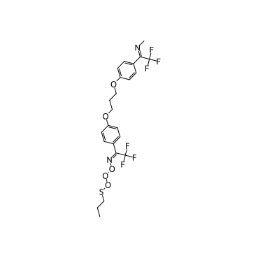 CCCSOOO/N=C(/c1ccc(OCCCOc2ccc(/C(=N/C)C(F)(F)F)cc2)cc1)C(F)(F)F